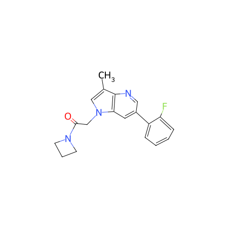 Cc1cn(CC(=O)N2CCC2)c2cc(-c3ccccc3F)cnc12